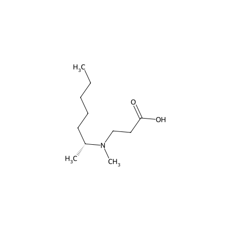 CCCCC[C@@H](C)N(C)CCC(=O)O